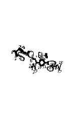 Cc1csc(OCCC(c2ccc(OC(=O)N(C)C)cc2)N(C)C)c1.Cl